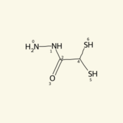 NNC(=O)C(S)S